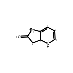 O=C1CC2NC=CC=C2N1